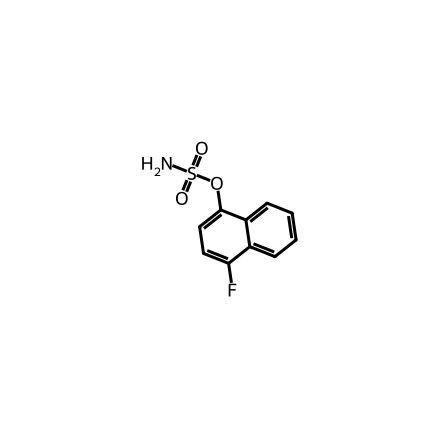 NS(=O)(=O)Oc1ccc(F)c2ccccc12